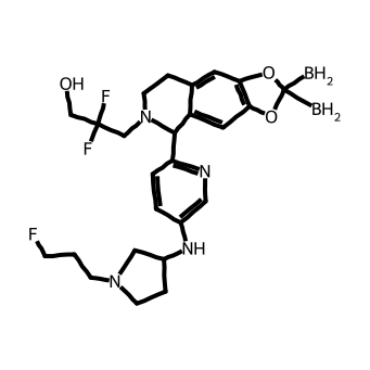 BC1(B)Oc2cc3c(cc2O1)C(c1ccc(NC2CCN(CCCF)C2)cn1)N(CC(F)(F)CO)CC3